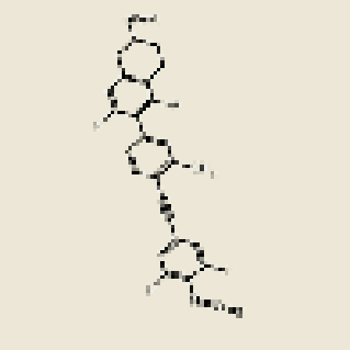 CCCCCC1CCc2c(cc(F)c(-c3ccc(C#Cc4cc(F)c(N=C=S)c(F)c4)c(C)c3)c2F)C1